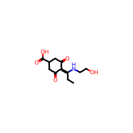 CCC(NCCO)=C1C(=O)CC(C(=O)O)CC1=O